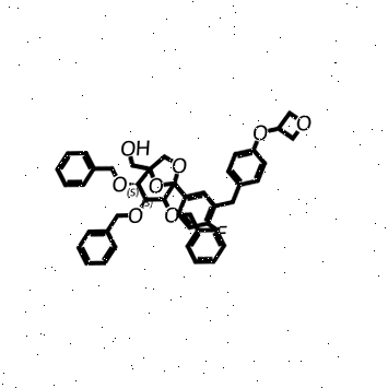 OCC12COC(c3ccc(F)c(Cc4ccc(OC5COC5)cc4)c3)(O1)C(OCc1ccccc1)[C@@H](OCc1ccccc1)[C@@H]2OCc1ccccc1